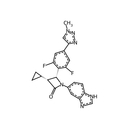 Cn1cc(-c2cc(F)c([C@H]3[C@@H](C4CC4)C(=O)N3c3ccc4[nH]cnc4c3)c(F)c2)nn1